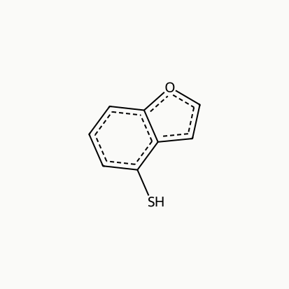 Sc1cccc2occc12